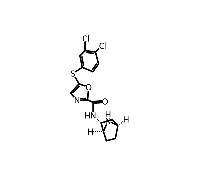 O=C(N[C@@H]1C[C@H]2CC[C@@H]1N2)c1ncc(Sc2ccc(Cl)c(Cl)c2)o1